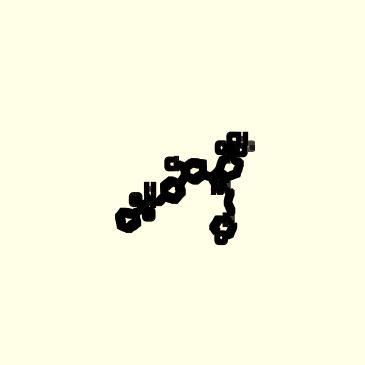 CS(=O)(=O)N1CCc2c(c(-c3ccc(Cl)c(-c4ccc(CNS(=O)(=O)c5ccccc5)cc4)c3)nn2CCCN2CCOCC2)C1